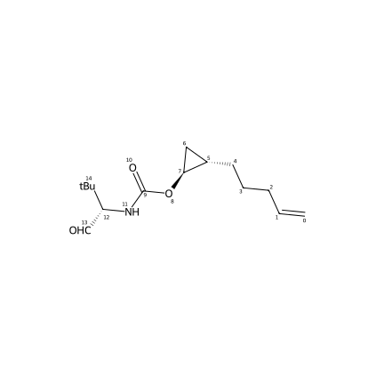 C=CCCC[C@H]1C[C@@H]1OC(=O)N[C@H](C=O)C(C)(C)C